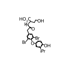 CC(C)c1cc(Oc2c(Br)cc(CC(=O)N(I)C(CCO)C(=O)O)cc2Br)ccc1O